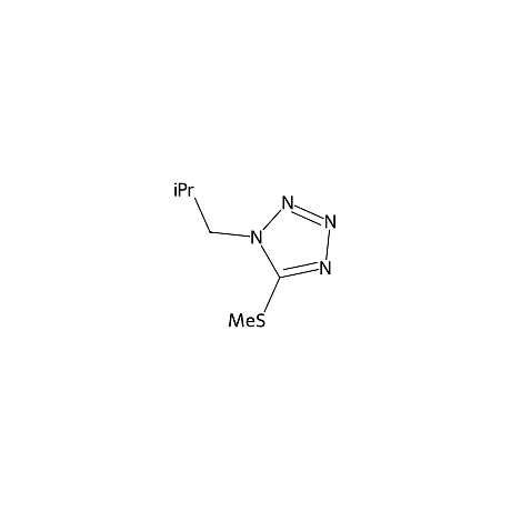 [CH2]Sc1nnnn1CC(C)C